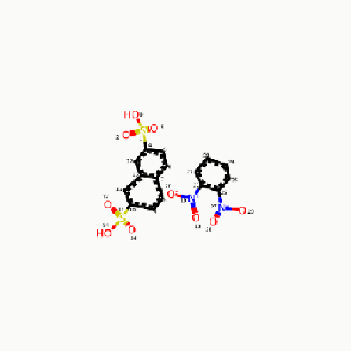 O=S(=O)(O)c1ccc2ccc(S(=O)(=O)O)cc2c1.O=[N+]([O-])c1ccccc1[N+](=O)[O-]